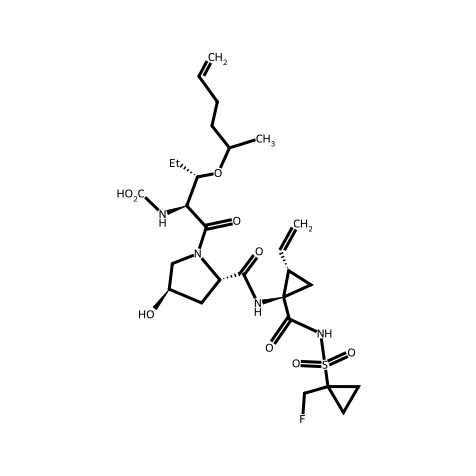 C=CCCC(C)O[C@@H](CC)[C@H](NC(=O)O)C(=O)N1C[C@H](O)C[C@H]1C(=O)N[C@]1(C(=O)NS(=O)(=O)C2(CF)CC2)C[C@H]1C=C